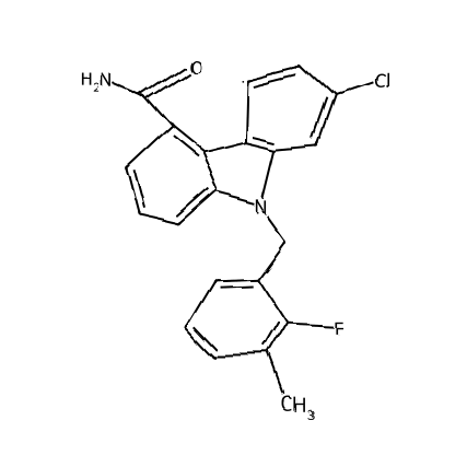 Cc1cccc(Cn2c3cc(Cl)c[c]c3c3c(C(N)=O)cccc32)c1F